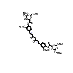 COc1cc(/C=C/C(=O)CC(=O)/C=C/c2ccc(OC(=O)[C@@H](CCSC)NC(=O)OC(C)(C)C)c(OC)c2)ccc1OC(=O)[C@@H](CCSC)NC(=O)OC(C)(C)C